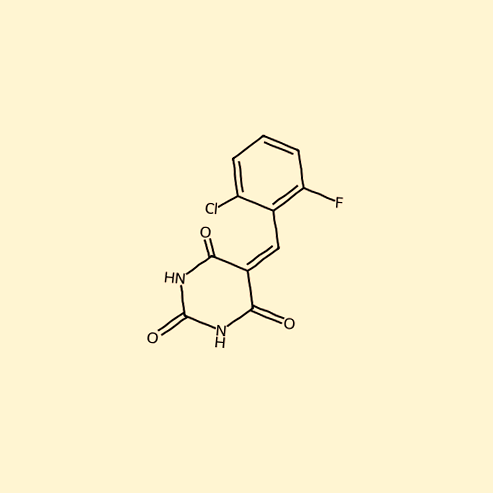 O=C1NC(=O)C(=Cc2c(F)cccc2Cl)C(=O)N1